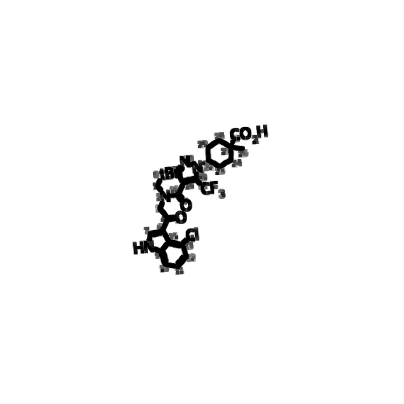 CC(C)(C)CN(CC(=O)c1c[nH]c2cccc(Cl)c12)C(=O)c1cnn([C@H]2CC[C@](C)(C(=O)O)CC2)c1C(F)(F)F